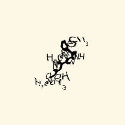 COc1ccccc1-c1c[nH]c2ncc(-c3cncc(C(O)C(=O)N(C)C)c3)c(N(C)C)c12